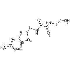 O=C(NCCO)C(=O)NCC1Cc2cc(C(F)(F)F)ccc2O1